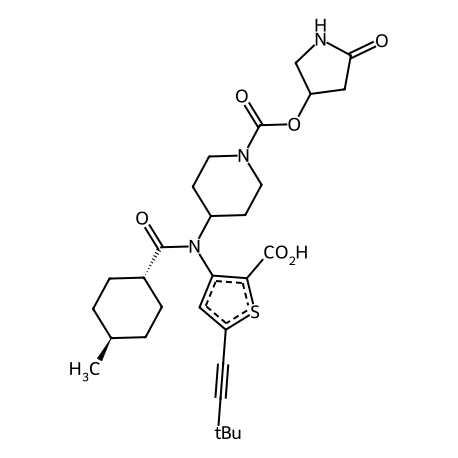 CC(C)(C)C#Cc1cc(N(C(=O)[C@H]2CC[C@H](C)CC2)C2CCN(C(=O)OC3CNC(=O)C3)CC2)c(C(=O)O)s1